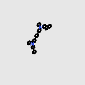 CC1(C)c2ccccc2-c2ccc(N(c3ccccc3)c3ccc(-c4ccc(-c5ccc6c(c5)c5ccccc5n6-c5ccc(-c6ccccc6)cc5)cc4)cc3)cc21